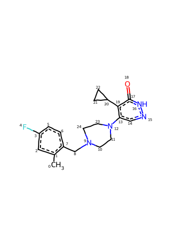 Cc1cc(F)ccc1CN1CCN(c2cn[nH]c(=O)c2C2CC2)CC1